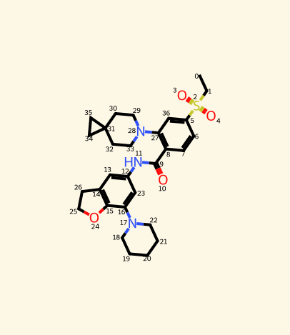 CCS(=O)(=O)c1ccc(C(=O)Nc2cc3c(c(N4CCCCC4)c2)OCC3)c(N2CCC3(CC2)CC3)c1